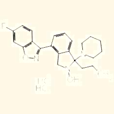 CCCC1(N2CCCCC2)c2cccc(-c3noc4cc(F)ccc34)c2CN1O.Cl.Cl